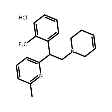 Cc1cccc(C(CN2CC=CCC2)c2ccccc2C(F)(F)F)n1.Cl